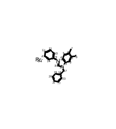 Cc1cc2c(cc1C)[n+](-c1ccccc1)cn2Cc1ccccc1.[Br-]